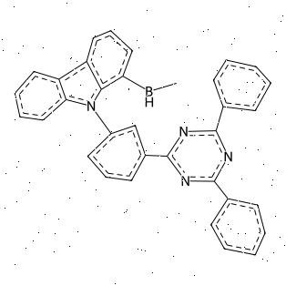 CBc1cccc2c3ccccc3n(-c3cccc(-c4nc(-c5ccccc5)nc(-c5ccccc5)n4)c3)c12